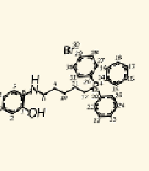 Oc1ccccc1NCCCCC[P+](c1ccccc1)(c1ccccc1)c1ccccc1.[Br-]